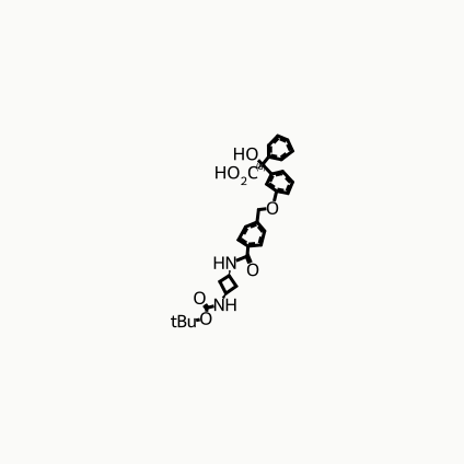 CC(C)(C)OC(=O)N[C@H]1C[C@H](NC(=O)c2ccc(COc3cccc([C@](O)(C(=O)O)c4ccccc4)c3)cc2)C1